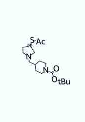 CC(=O)S[C@@H]1CCN(CC2CCN(C(=O)OC(C)(C)C)CC2)C1